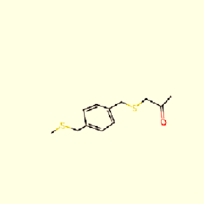 CSCc1ccc(CSCC(C)=O)cc1